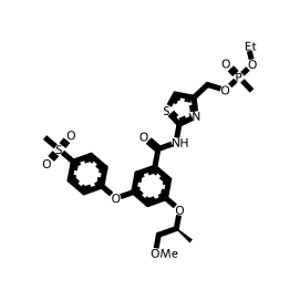 CCOP(C)(=O)OCc1csc(NC(=O)c2cc(Oc3ccc(S(C)(=O)=O)cc3)cc(O[C@@H](C)COC)c2)n1